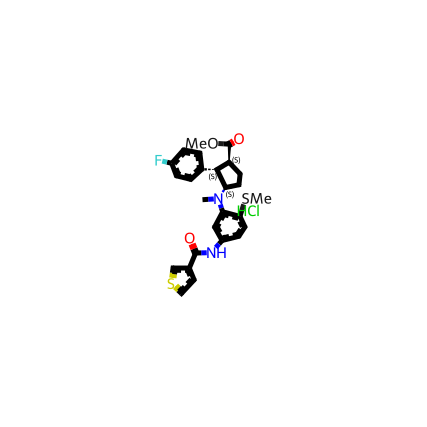 COC(=O)[C@H]1CC[C@H](N(C)c2cc(NC(=O)c3ccsc3)ccc2SC)[C@@H]1c1ccc(F)cc1.Cl